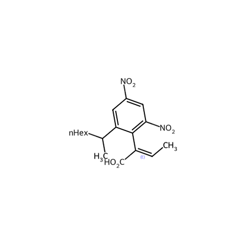 C/C=C(/C(=O)O)c1c(C(C)CCCCCC)cc([N+](=O)[O-])cc1[N+](=O)[O-]